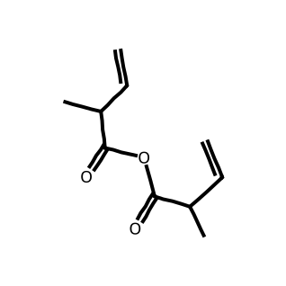 C=CC(C)C(=O)OC(=O)C(C)C=C